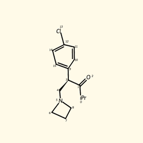 CC(C)C(=O)[C@@H](CN1CCC1)c1ccc(Cl)cc1